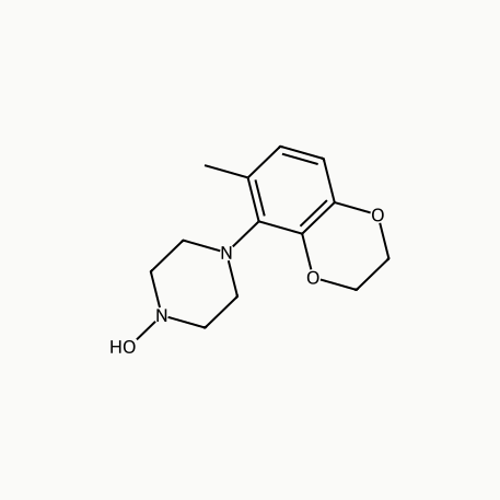 Cc1ccc2c(c1N1CCN(O)CC1)OCCO2